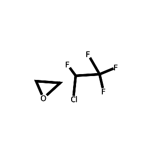 C1CO1.FC(Cl)C(F)(F)F